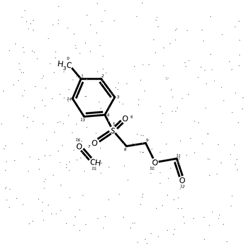 Cc1ccc(S(=O)(=O)CCO[C]=O)cc1.[CH]=O